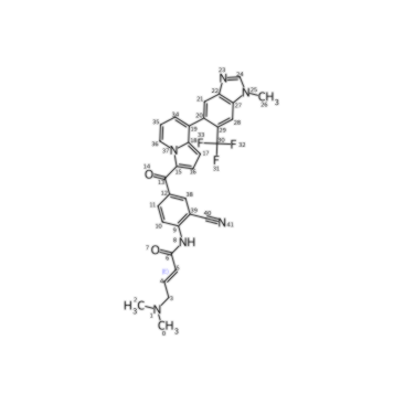 CN(C)C/C=C/C(=O)Nc1ccc(C(=O)c2ccc3c(-c4cc5ncn(C)c5cc4C(F)(F)F)cccn23)cc1C#N